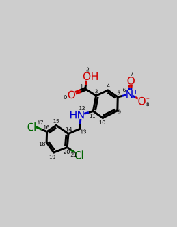 O=C(O)c1cc([N+](=O)[O-])ccc1NCc1cc(Cl)ccc1Cl